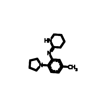 Cc1ccc(N2CCCC2)c(/N=C2\CCCCN2)c1